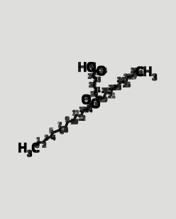 CCCCCCCCCCCCCCCC(=O)OC(CCCCCCCCCCC)CCCCCC(=O)O